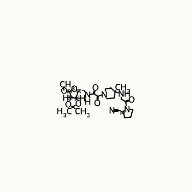 CO[C@@H]1O[C@H](CNC(=O)C(=O)N2CCC(C)(NCC(=O)N3CCC[C@H]3C#N)CC2)[C@H]2OC(C)(C)O[C@@H]12